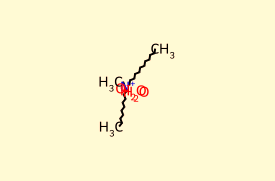 CCCCCCCCCCCC[N+]([O-])(CC)CCCCCCCCCC.O.O